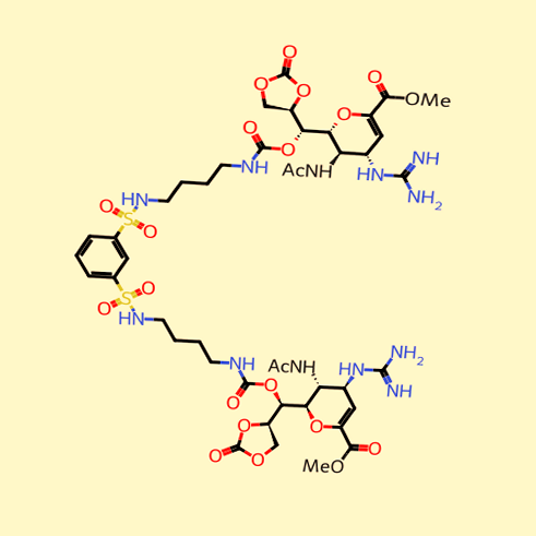 COC(=O)C1=C[C@H](NC(=N)N)[C@@H](NC(C)=O)[C@H]([C@H](OC(=O)NCCCCNS(=O)(=O)c2cccc(S(=O)(=O)NCCCCNC(=O)O[C@@H]([C@@H]3OC(C(=O)OC)=C[C@H](NC(=N)N)[C@H]3NC(C)=O)[C@H]3COC(=O)O3)c2)[C@H]2COC(=O)O2)O1